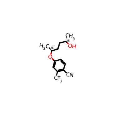 C[C@H](O)CC[C@H](C)Oc1ccc(C#N)c(C(F)(F)F)c1